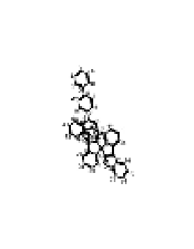 c1ccc(-c2ccc(-c3cc(-c4cccc5c4C4(c6ccccc6-c6ccccc64)c4sc6ccccc6c4-5)nc4ccccc34)cc2)cc1